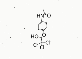 CC(=O)Nc1ccc(OC(O)C(Cl)(Cl)Cl)cc1